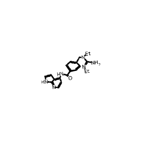 CCN=C(N)N(CC)Cc1ccc(C(=O)Nc2ccnc3[nH]ccc23)cc1